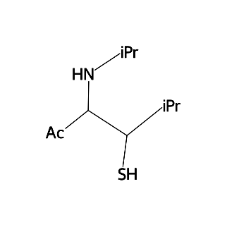 CC(=O)C(NC(C)C)C(S)C(C)C